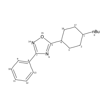 CCCCC1CCC(c2nc(-c3ccccc3)no2)CC1